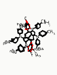 CCCCc1ccc(N(c2ccc(C)cc2)c2cc(N(c3ccc(C)cc3)c3ccc(CCCC)cc3)c3c(-c4ccc(F)cc4)cc4c(N(c5ccc(C)cc5)c5ccc(CCCC)cc5)cc(N(c5ccc(C)cc5)c5ccc(CCCC)cc5)c5c(-c6ccc(F)cc6)cc2c3c45)cc1